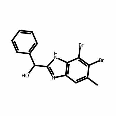 Cc1cc2nc(C(O)c3ccccc3)[nH]c2c(Br)c1Br